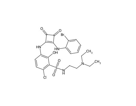 CCN(CC)CCNS(=O)(=O)c1c(Cl)ccc(Nc2c(Nc3ccccc3Br)c(=O)c2=O)c1O